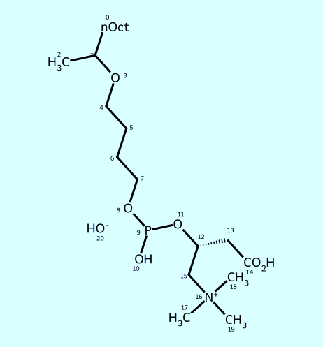 CCCCCCCCC(C)OCCCCOP(O)O[C@H](CC(=O)O)C[N+](C)(C)C.[OH-]